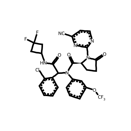 N#Cc1ccnc(N2C(=O)CC[C@H]2C(=O)N(c2cccc(OC(F)(F)F)c2)C(C(=O)NC2CC(F)(F)C2)c2ccccc2Cl)n1